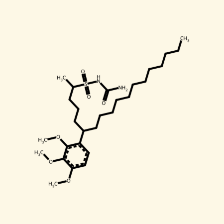 CCCCCCCCCCCCC(CCCC(C)S(=O)(=O)NC(N)=O)c1ccc(OC)c(OC)c1OC